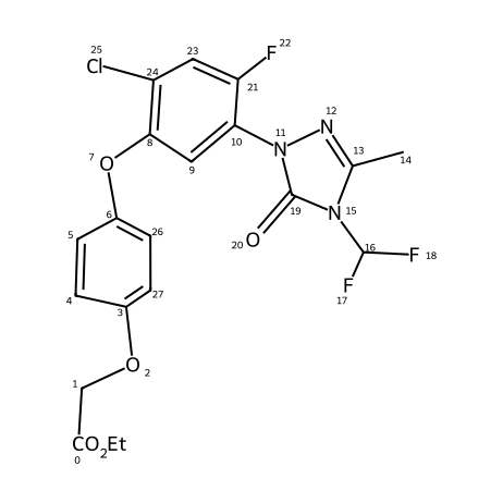 CCOC(=O)COc1ccc(Oc2cc(-n3nc(C)n(C(F)F)c3=O)c(F)cc2Cl)cc1